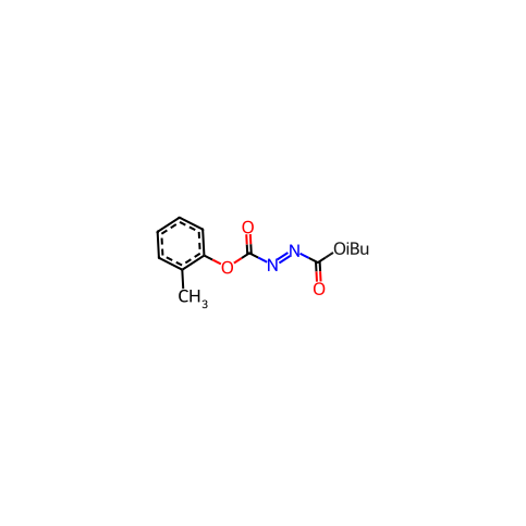 Cc1ccccc1OC(=O)N=NC(=O)OCC(C)C